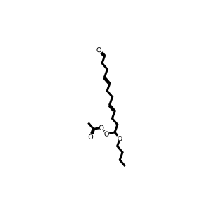 CCCCOC(CCC=CCCC=CCCC=O)OOC(C)=O